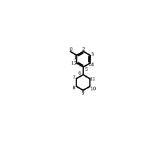 Cc1cc[c]c(C2CCCCC2)c1